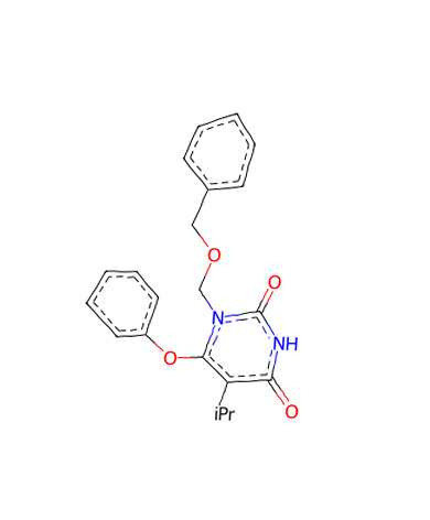 CC(C)c1c(Oc2ccccc2)n(COCc2ccccc2)c(=O)[nH]c1=O